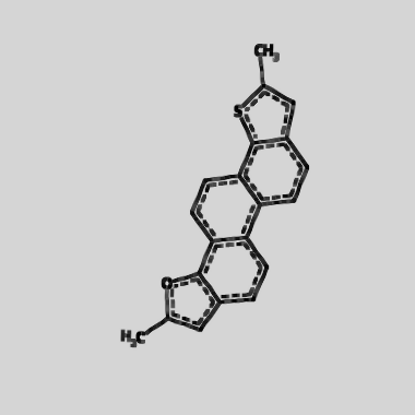 Cc1cc2ccc3c4ccc5cc(C)sc5c4ccc3c2o1